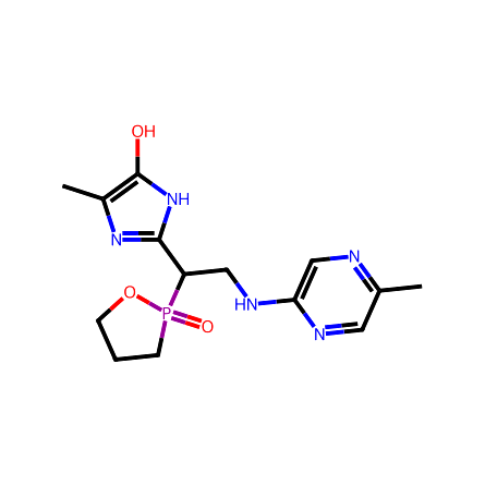 Cc1cnc(NCC(c2nc(C)c(O)[nH]2)P2(=O)CCCO2)cn1